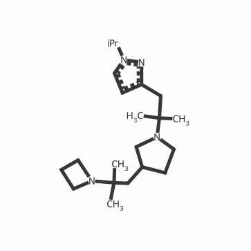 CC(C)n1ccc(CC(C)(C)N2CCC(CC(C)(C)N3CCC3)C2)n1